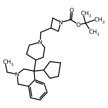 CCN1Cc2ccccc2C(C2CCCC2)(C2CCN(CC3CN(C(=O)OC(C)(C)C)C3)CC2)C1